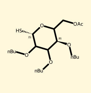 CCCCOC1C(OCCCC)[C@H](S)OC(COC(C)=O)[C@H]1OCCCC